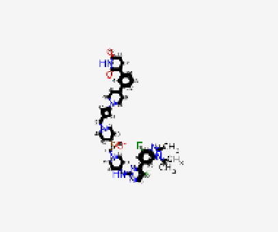 Cc1nc2c(F)cc(-c3nc(NC4CCN(C[S+]([O-])C5CCN(CC6CC(N7CCC(c8cccc(C9CCC(=O)NC9=O)c8)CC7)C6)CC5)CC4)ncc3F)cc2n1C(C)C